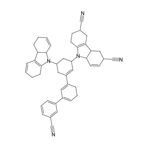 N#Cc1cccc(C2=CCCC(C3=CC(N4C5=C(CC(C#N)CC5)C5CC(C#N)C=CC54)CC(N4C5=C(C=CCC5)C5CCC=CC54)C3)=C2)c1